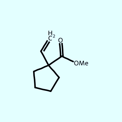 C=CC1(C(=O)OC)CCCC1